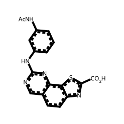 CC(=O)Nc1cccc(Nc2ncc3ccc4nc(C(=O)O)sc4c3n2)c1